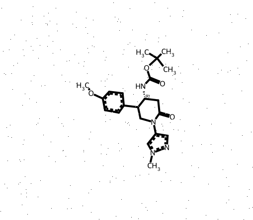 COc1ccc(C2CN(c3cnn(C)c3)C(=O)C[C@H]2NC(=O)OC(C)(C)C)cc1